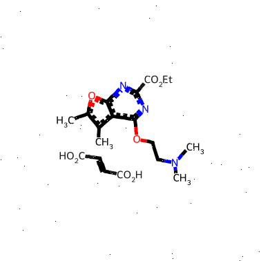 CCOC(=O)c1nc(OCCN(C)C)c2c(C)c(C)oc2n1.O=C(O)C=CC(=O)O